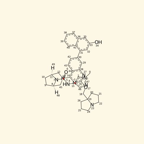 Cn1cc(NC(=O)N2[C@@H]3CC[C@H]2CN(c2nc(OCC45CCCN4CCC5)nc4cc(-c5cc(O)cc6ccccc56)ccc24)C3)cn1